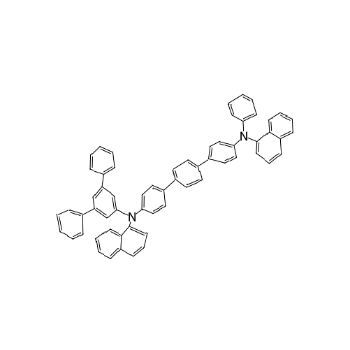 c1ccc(-c2cc(-c3ccccc3)cc(N(c3ccc(-c4ccc(-c5ccc(N(c6ccccc6)c6cccc7ccccc67)cc5)cc4)cc3)c3cccc4ccccc34)c2)cc1